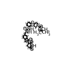 CC(C)(C)OC(=O)N1CCC(Oc2cccc(NC(=O)NCc3ccc4c(c3)C(=O)N(C3CCC(=O)NC3=O)C4)c2)CC1